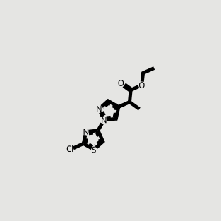 CCOC(=O)C(C)c1cnn(-c2csc(Cl)n2)c1